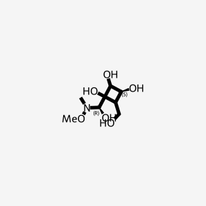 CON(C)[C@H](O)C1(O)C(O)[C@@H](O)C1CO